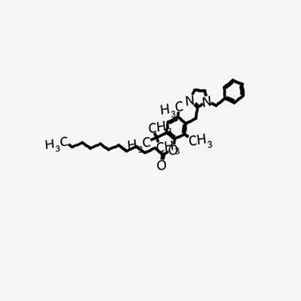 CCCCCCCCCCCC(=O)Oc1c(C(C)(C)C)cc(C)c(CC2=NCCN2Cc2ccccc2)c1C